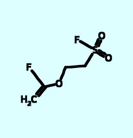 C=C(F)OCCS(=O)(=O)F